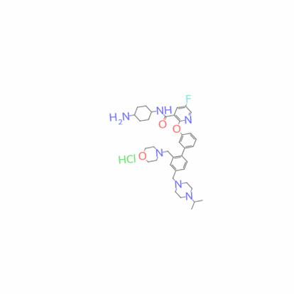 CC(C)N1CCN(Cc2ccc(-c3cccc(Oc4ncc(F)cc4C(=O)NC4CCC(N)CC4)c3)c(CN3CCOCC3)c2)CC1.Cl